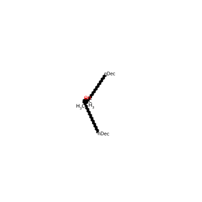 CCCCCCCCCCCCCCCCCCCCCCCCCCCCC(C)c1ccc(O)c(C(C)CCCCCCCCCCCCCCCCCCCCCCCCCCCC)c1